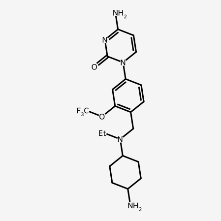 CCN(Cc1ccc(-n2ccc(N)nc2=O)cc1OC(F)(F)F)C1CCC(N)CC1